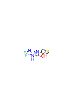 Cc1cc(NC2CN(C)CC(F)(F)C2)nnc1-c1ccc2sccc2c1O